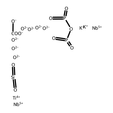 O=C([O-])[O-].O=P(=O)OP(=O)=O.O=[Si]=O.[K+].[K+].[Nb+5].[Nb+5].[O-2].[O-2].[O-2].[O-2].[O-2].[O-2].[O-2].[Ti+4]